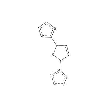 C1=CC(c2cccs2)SC1c1cccs1